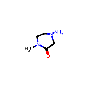 CN1CCN(N)CC1=O